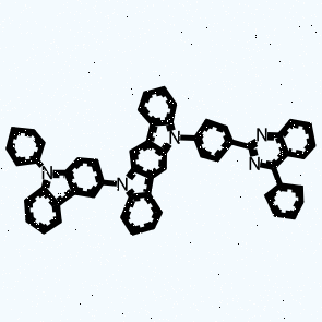 c1ccc(-c2nc(-c3ccc(-n4c5ccccc5c5cc6c(cc54)c4ccccc4n6-c4ccc5c(c4)c4ccccc4n5-c4ccccc4)cc3)nc3ccccc23)cc1